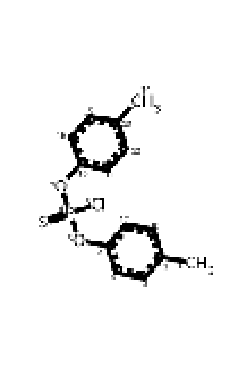 Cc1ccc(OP(=S)(Cl)Oc2ccc(C)cc2)cc1